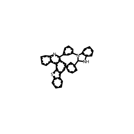 c1ccc(C2Nc3ccccc3N2c2cccc(-c3nc4ccccc4c4c3ccc3c5ccccc5sc34)c2)cc1